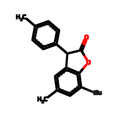 Cc1ccc(C2C(=O)Oc3c2cc(C)cc3C(C)(C)C)cc1